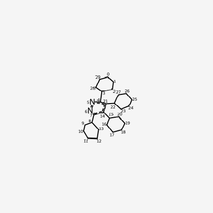 C1CCC(c2nnc(C3CCCCC3)c(C3CCCCC3)c2C2CCCCC2)CC1